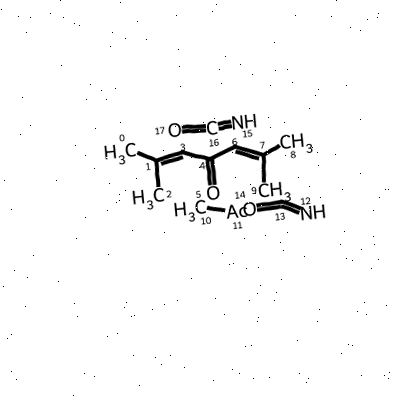 CC(C)=CC(=O)C=C(C)C.CC(C)=O.N=C=O.N=C=O